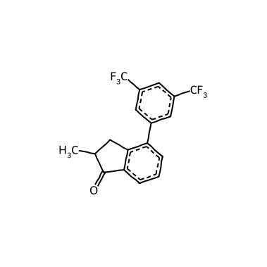 CC1Cc2c(cccc2-c2cc(C(F)(F)F)cc(C(F)(F)F)c2)C1=O